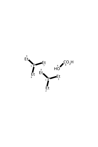 CCP(CC)CC.CCP(CC)CC.O=C(O)O